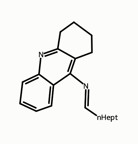 CCCCCCCC=Nc1c2c(nc3ccccc13)CCCC2